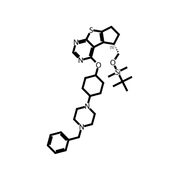 CC(C)(C)[Si](C)(C)OC[C@H]1CCc2sc3ncnc(OC4CCC(N5CCN(Cc6ccccc6)CC5)CC4)c3c21